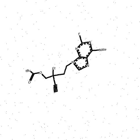 C#CC(CC)(CCn1cnc2c(NC)nc(F)nc21)COC(=O)C(C)(C)C